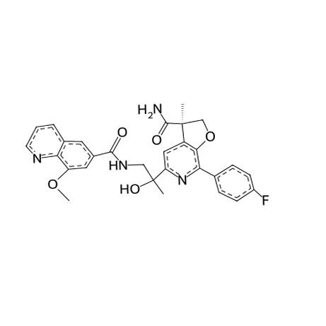 COc1cc(C(=O)NCC(C)(O)c2cc3c(c(-c4ccc(F)cc4)n2)OC[C@]3(C)C(N)=O)cc2cccnc12